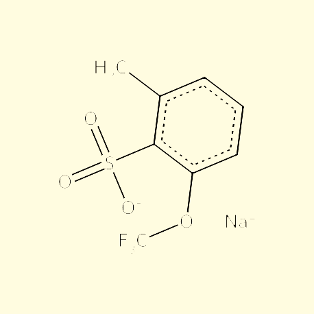 Cc1cccc(OC(F)(F)F)c1S(=O)(=O)[O-].[Na+]